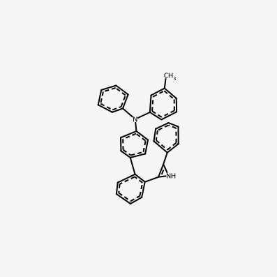 Cc1cccc(N(c2ccccc2)c2ccc(-c3ccccc3C3=C(c4ccccc4)N3)cc2)c1